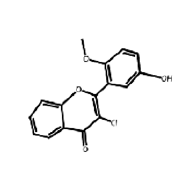 COc1ccc(O)cc1-c1oc2ccccc2c(=O)c1Cl